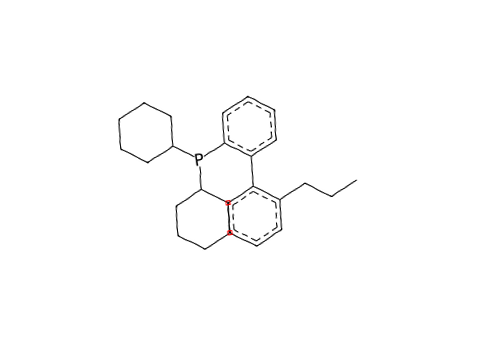 CCCc1ccccc1-c1ccccc1P(C1CCCCC1)C1CCCCC1